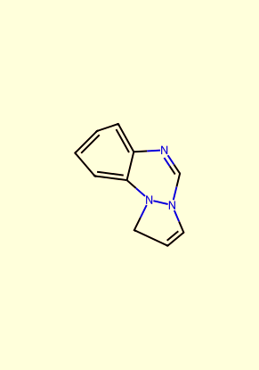 C1=CN2C=Nc3ccccc3N2C1